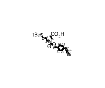 CC(C)(C)SSCCN(CCC(=O)O)C(=O)OCc1ccc(N=[N+]=[N-])cc1